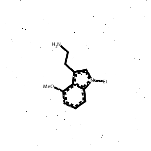 CCn1cc(CCN)c2c(OC)cccc21